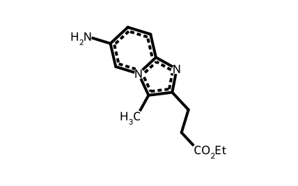 CCOC(=O)CCc1nc2ccc(N)cn2c1C